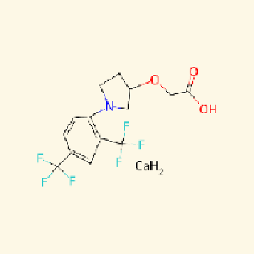 O=C(O)COC1CCN(c2ccc(C(F)(F)F)cc2C(F)(F)F)C1.[CaH2]